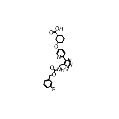 Cn1nnc(-c2ccc(O[C@H]3CCC[C@H](C(=O)O)C3)cn2)c1CNC(=O)OCc1cccc(F)c1